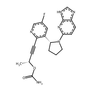 C[C@H](C#Cc1ncc(F)cc1[C@H]1CCCN1c1ccc2nc[nH]c2n1)OC(N)=O